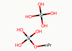 CCCO[Si](O)(O)O.O[Si](O)(O)O